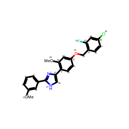 COc1cccc(-c2nc(-c3ccc(OCc4ccc(Cl)cc4F)cc3OC)c[nH]2)c1